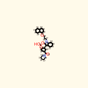 O=C(O)Oc1c(-c2cccc(C(=O)N3CCCCC3)c2)c2ccccc2n1CCCOc1cccc2ccccc12